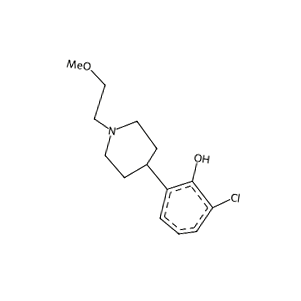 COCCN1CCC(c2cccc(Cl)c2O)CC1